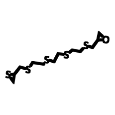 C(CSCCSCC1CS1)SCCSCC1CO1